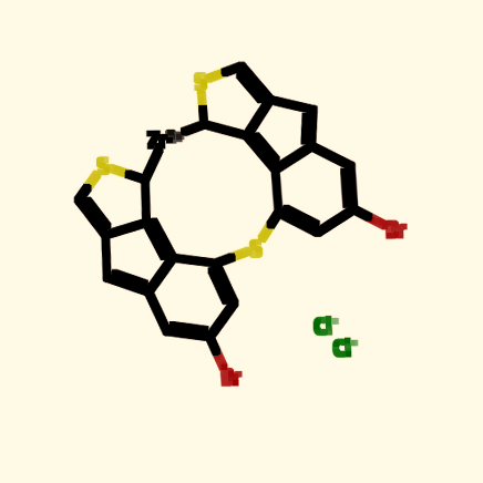 Brc1cc2c3c(c1)=CC1=CS[CH]([Zr+2][CH]4SC=C5C=c6cc(Br)cc(c6=C54)S2)C=31.[Cl-].[Cl-]